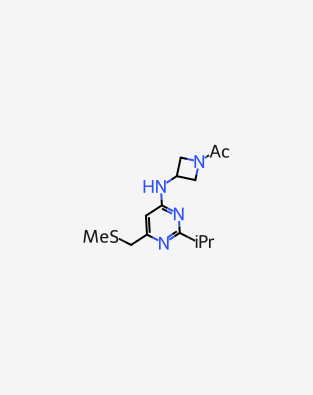 CSCc1cc(NC2CN(C(C)=O)C2)nc(C(C)C)n1